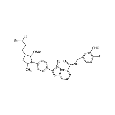 CCC(CC)CCC1CC(C)N(c2ccc(-c3cc4cccc(C(=O)NCc5ccc(F)c(C=O)c5)c4n3CC)cc2)C1OC